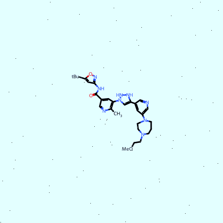 COCCN1CCCN(c2cncc(C3=CN(c4cc(C(=O)Nc5cc(C(C)(C)C)on5)cnc4C)NN3)c2)CC1